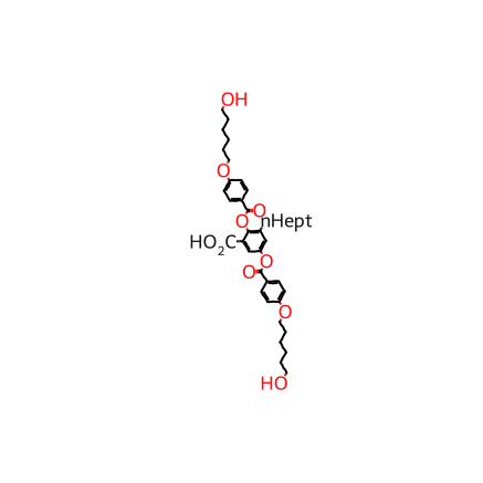 CCCCCCCc1cc(OC(=O)c2ccc(OCCCCCCO)cc2)cc(C(=O)O)c1OC(=O)c1ccc(OCCCCCCO)cc1